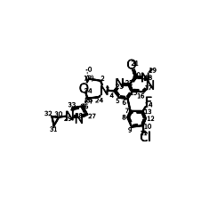 C[C@@H]1CN(c2cc(-c3ccc(Cl)cc3F)c3cnn(C)c(=O)c3n2)C[C@H](c2cnn(C3CC3)c2)O1